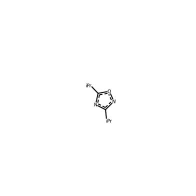 CC(C)c1noc(C(C)C)n1